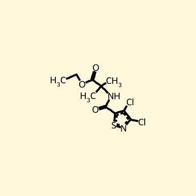 CCOC(=O)C(C)(C)NC(=O)c1snc(Cl)c1Cl